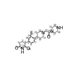 O=C1CCC(c2ccc(C3CCN(CC(=O)N4CCNCC4)CC3)c(F)c2)C(=O)N1